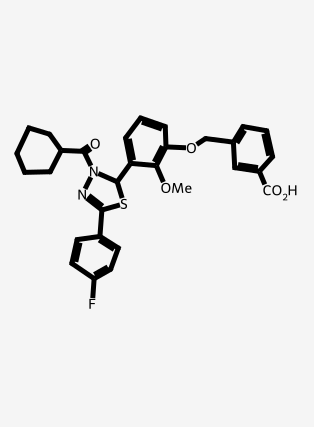 COc1c(OCc2cccc(C(=O)O)c2)cccc1C1SC(c2ccc(F)cc2)=NN1C(=O)C1CCCCC1